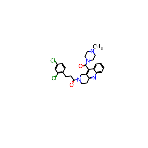 CN1CCN(C(=O)c2c3c(nc4ccccc24)CCN(C(=O)CCc2ccc(Cl)cc2Cl)C3)CC1